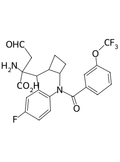 NC(CC=O)(C(=O)O)C1c2cc(F)ccc2N(C(=O)c2cccc(OC(F)(F)F)c2)C2CCC21